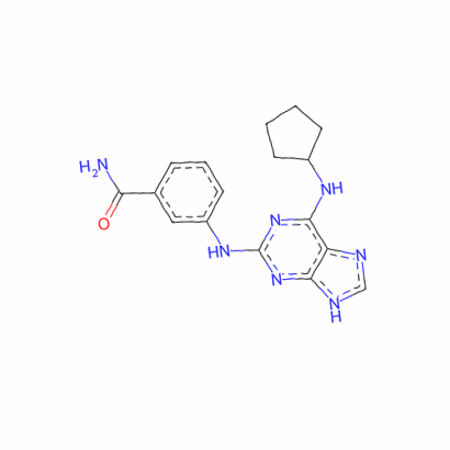 NC(=O)c1cccc(Nc2nc(NC3CCCC3)c3nc[nH]c3n2)c1